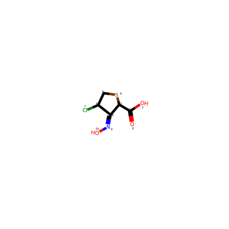 O=C(O)C1SCC(Cl)C1=NO